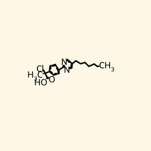 CCCCCCCc1cnc(-c2ccc([C@@](C)(Cl)C(=O)O)cc2)nc1